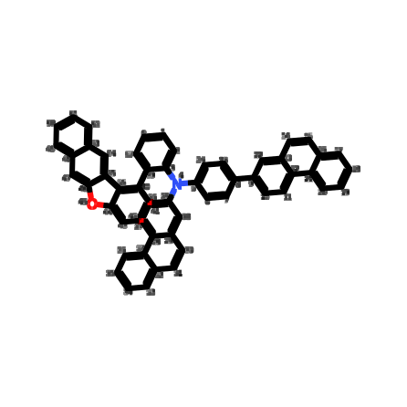 c1ccc(N(c2ccc(-c3ccc4c(ccc5ccccc54)c3)cc2)c2ccc3c(ccc4ccccc43)c2)c(-c2cccc3oc4cc5ccccc5cc4c23)c1